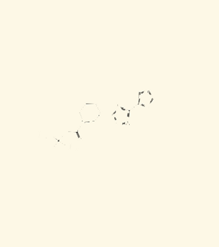 CC(C)(C)OC(=O)N1CCC[C@H](c2nc(-c3ccco3)no2)C1